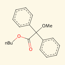 CCCCOC(=O)C(OC)(c1ccccc1)c1ccccc1